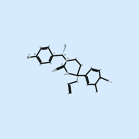 C=CC[C@@]1(C2=CC(C)C(F)C=C2)CCN([C@@H](C)c2ccc(Br)cc2)C(=O)O1